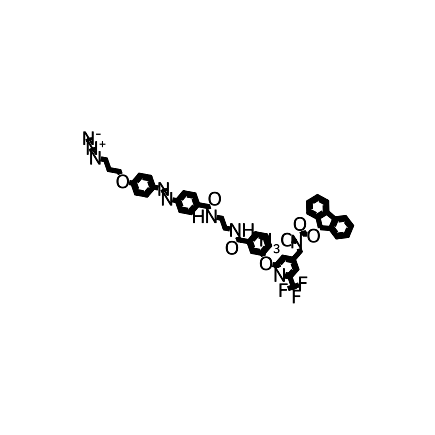 CN(Cc1cc(Oc2cccc(C(=O)NCCNC(=O)c3ccc(/N=N/c4ccc(OCCCN=[N+]=[N-])cc4)cc3)c2)nc(C(F)(F)F)c1)C(=O)OC1c2ccccc2-c2ccccc21